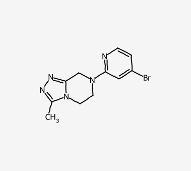 Cc1nnc2n1CCN(c1cc(Br)ccn1)C2